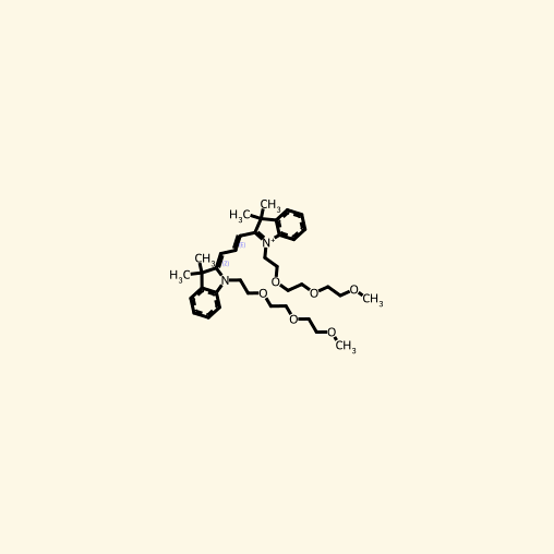 COCCOCCOCCN1/C(=C\C=C\C2=[N+](CCOCCOCCOC)c3ccccc3C2(C)C)C(C)(C)c2ccccc21